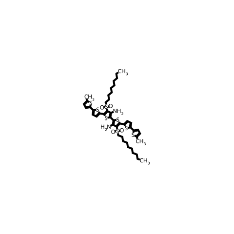 CCCCCCCCCCS(=O)(=O)c1c(-c2ccc(-c3ccc(C)s3)s2)sc(-c2sc(-c3ccc(-c4ccc(C)s4)s3)c(S(=O)(=O)CCCCCCCCCC)c2N)c1N